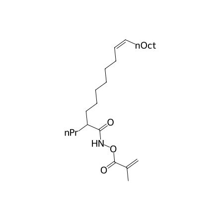 C=C(C)C(=O)ONC(=O)C(CCC)CCCCCC/C=C\CCCCCCCC